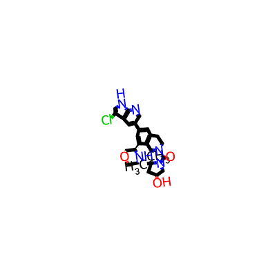 CC1(C)CC(O)CN1C(=O)N1CCc2cc(-c3cnc4[nH]cc(Cl)c4c3)cc([C@@H]3COCCN3)c2C1